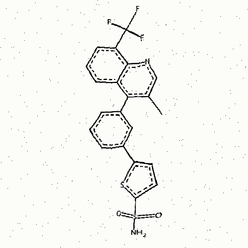 Cc1cnc2c(C(F)(F)F)cccc2c1-c1cccc(-c2ccc(S(N)(=O)=O)s2)c1